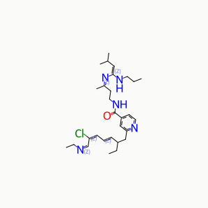 CCCNC(=C/C(C)C)/N=C(/C)CCNC(=O)c1ccnc(CC(/C=C/C=C(Cl)\C=N/CC)CC)c1